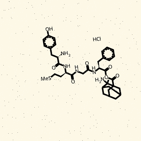 CSCC[C@@H](NC(=O)[C@@H](N)Cc1ccc(O)cc1)C(=O)NCC(=O)N[C@@H](Cc1ccccc1)C(=O)OC(=O)C12CC3CC(CC(C3)C1(C)N)C2.Cl